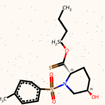 CCC[SiH2]OC(=S)[C@@H]1CC[C@@H](O)CN1S(=O)(=O)c1ccc(C)cc1